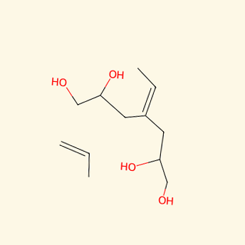 C=CC.CC=C(CC(O)CO)CC(O)CO